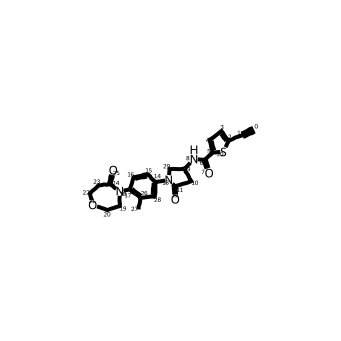 C#Cc1ccc(C(=O)NC2CC(=O)N(c3ccc(N4CCOCCC4=O)c(C)c3)C2)s1